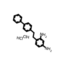 Cl.Cl.Nc1ccc(CCc2ccc(-c3ccccc3)cc2)c(N)c1